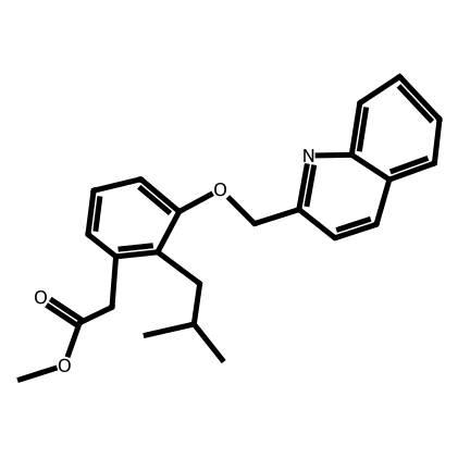 COC(=O)Cc1cccc(OCc2ccc3ccccc3n2)c1CC(C)C